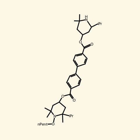 CCCCCON1C(C)(C)CC(OC(=O)c2ccc(-c3ccc(C(=O)OC4CC(C(C)C)NC(C)(C)C4)cc3)cc2)CC1(C)C(C)C